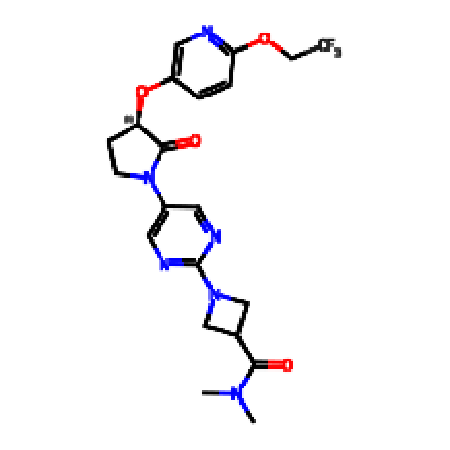 CN(C)C(=O)C1CN(c2ncc(N3CC[C@@H](Oc4ccc(OCC(F)(F)F)nc4)C3=O)cn2)C1